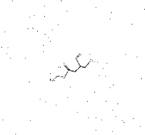 CCOC(=O)CC(CC)N=O